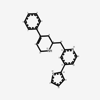 C1=C(c2ccccc2)CC(Cc2cc(-c3cccs3)ccn2)NC1